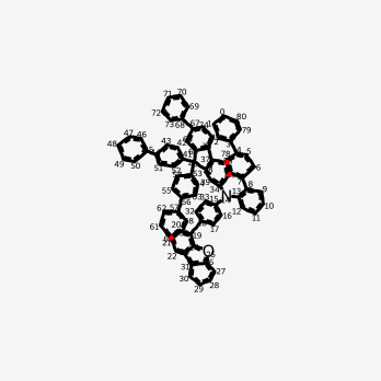 c1ccc(-c2ccc(-c3ccccc3N(c3ccc(-c4cccc5c4oc4ccccc45)cc3)c3ccc4c(c3)C(c3ccc(-c5ccccc5)cc3)(c3ccc(-c5ccccc5)cc3)c3cc(-c5ccccc5)ccc3-4)cc2)cc1